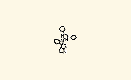 c1ccc(-c2cc(-c3ccccc3)nc(-n3c4ccccc4c4c5cccnc5ccc43)n2)cc1